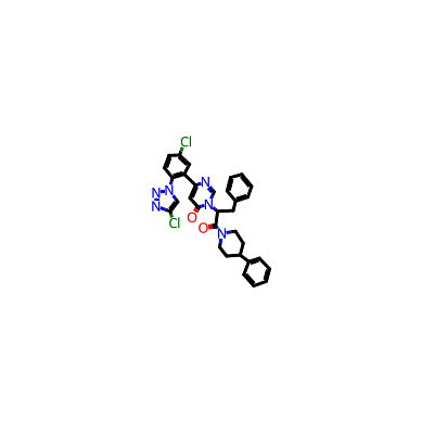 O=C(C(Cc1ccccc1)n1cnc(-c2cc(Cl)ccc2-n2cc(Cl)nn2)cc1=O)N1CCC(c2ccccc2)CC1